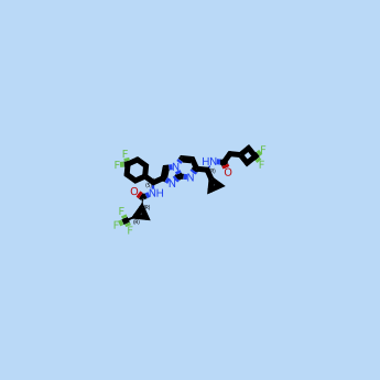 O=C(CC1CC(F)(F)C1)N[C@@H](c1ccn2cc([C@@H](NC(=O)[C@@H]3C[C@H]3C(F)(F)F)C3CCC(F)(F)CC3)nc2n1)C1CC1